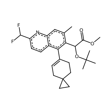 COC(=O)C(OC(C)(C)C)c1c(C)cc2nc(C(F)F)ccc2c1C1=CCC2(CC1)CC2